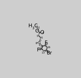 CCOC(=O)/C=C/C1CC1c1c(F)cc(Br)cc1F